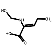 CC/C=C(\NCO)C(=O)O